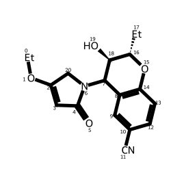 CCOC1=CC(=O)N(C2c3cc(C#N)ccc3O[C@@H](CC)[C@@H]2O)C1